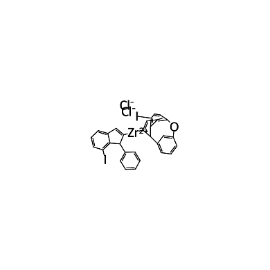 Ic1cccc2c1C(c1ccccc1)[C]([Zr+2][C]1=Cc3c4ccc(I)c3C1c1cccc(c1)O4)=C2.[Cl-].[Cl-]